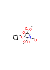 CCOC(=O)c1cn(CC=O)c(C(=O)OC)c(OCc2ccccc2)c1=O